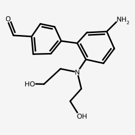 Nc1ccc(N(CCO)CCO)c(-c2ccc(C=O)cc2)c1